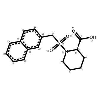 O=C(O)[C@H]1CCCCN1S(=O)(=O)Cc1ccc2ccccc2c1